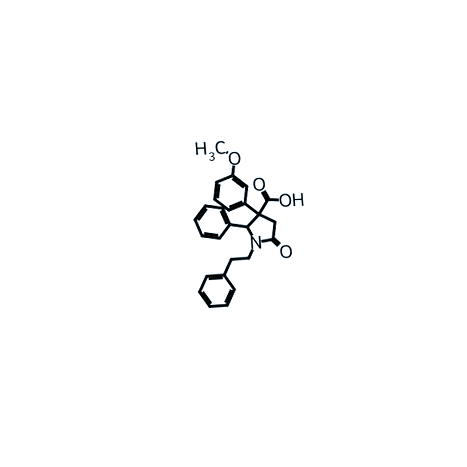 COc1cccc(C2(C(=O)O)CC(=O)N(CCc3ccccc3)C2c2ccccc2)c1